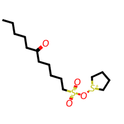 CCCCCC(=O)CCCCCS(=O)(=O)O[S+]1CCCC1